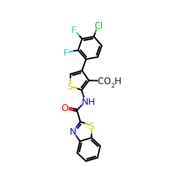 O=C(Nc1scc(-c2ccc(Cl)c(F)c2F)c1C(=O)O)c1nc2ccccc2s1